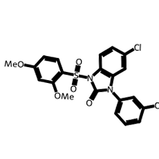 COc1ccc(S(=O)(=O)n2c(=O)n(-c3cccc(Cl)c3)c3cc(Cl)ccc32)c(OC)c1